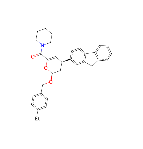 CCc1ccc(CO[C@@H]2C[C@H](c3ccc4c(c3)Cc3ccccc3-4)C=C(C(=O)N3CCCCC3)O2)cc1